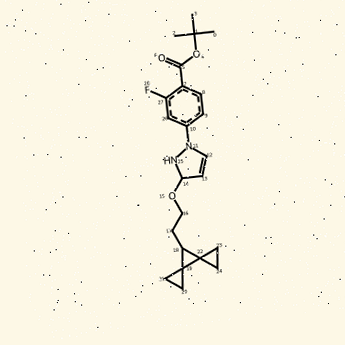 CC(C)(C)OC(=O)c1ccc(N2C=CC(OCCC3C4(CC4)C34CC4)N2)cc1F